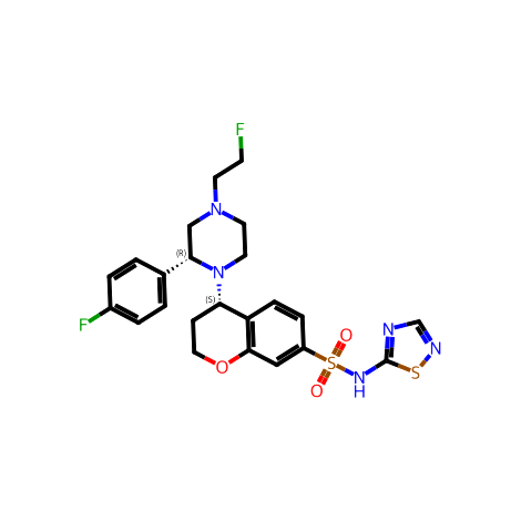 O=S(=O)(Nc1ncns1)c1ccc2c(c1)OCC[C@@H]2N1CCN(CCF)C[C@H]1c1ccc(F)cc1